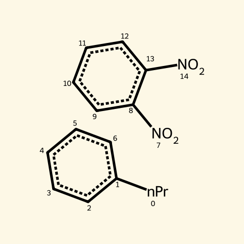 CCCc1ccccc1.O=[N+]([O-])c1ccccc1[N+](=O)[O-]